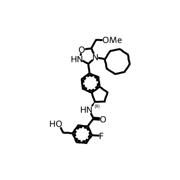 COCC1ONC(c2ccc3c(c2)CC[C@H]3NC(=O)c2cc(CO)ccc2F)N1C1CCCCCCC1